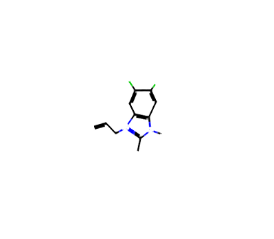 C=CC[n+]1c(C)n(CC)c2cc(Cl)c(Cl)cc21